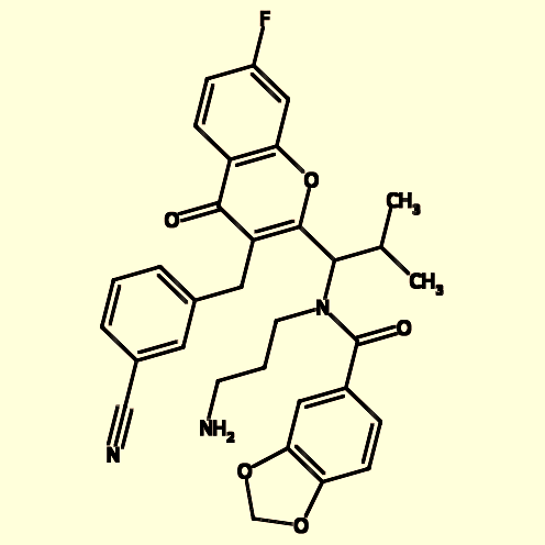 CC(C)C(c1oc2cc(F)ccc2c(=O)c1Cc1cccc(C#N)c1)N(CCCN)C(=O)c1ccc2c(c1)OCO2